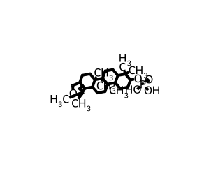 CC1(C)CCC23CC[C@@]4(C)C(CCC5[C@@]6(C)CCC(OP(=O)(O)O)C(C)(C)C6CC[C@]54C)C2C1OC3